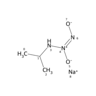 CC(C)N/[N+]([O-])=N\[O-].[Na+]